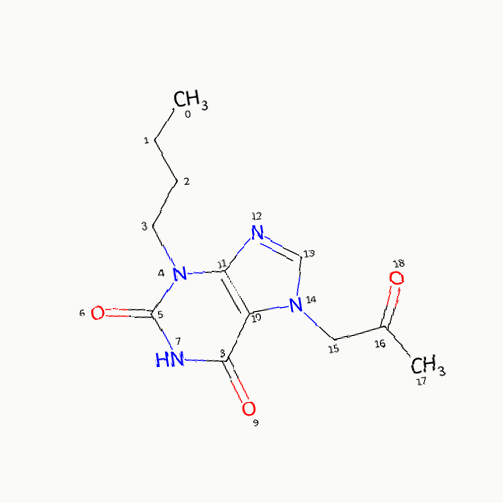 CCCCn1c(=O)[nH]c(=O)c2c1ncn2CC(C)=O